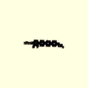 C=CC1CCC(C2CCC(C3CC=C(c4ccc(CCCCC)c(F)c4F)CC3)CC2)CC1